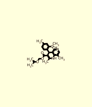 C=C(C)OCOC(=O)C1=C(C)Nc2c(C)cnc(C)c2C1c1ccc(C)cc1OC